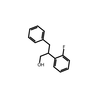 OCC(Cc1ccccc1)c1ccccc1F